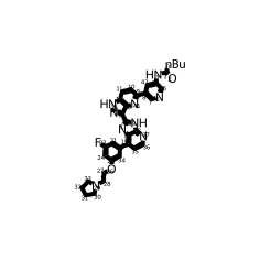 CCCCC(=O)Nc1cncc(-c2ccc3[nH]nc(-c4nc5c(-c6cc(F)cc(OCCN7CCCC7)c6)ccnc5[nH]4)c3n2)c1